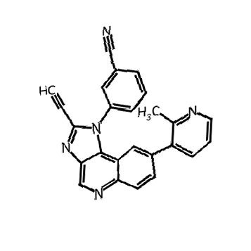 C#Cc1nc2cnc3ccc(-c4cccnc4C)cc3c2n1-c1cccc(C#N)c1